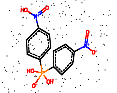 O=[N+]([O-])c1ccc(P([O-])(O)(O)c2ccc([N+](=O)O)cc2)cc1